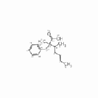 CCCCC(C)C(C)(Sc1ccccc1)C(=O)O